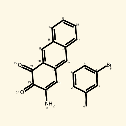 Cc1cccc(Br)c1.NC1=Cc2cc3ccccc3cc2C(=O)C1=O